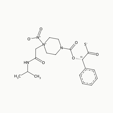 CC(C)NC(=O)C[N+]1([N+](=O)[O-])CCN(C(=O)O[C@H](C(=O)[S-])c2ccccc2)CC1